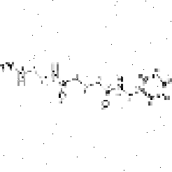 CCCNCCNC(=O)CCCC(=O)NCc1ccccc1